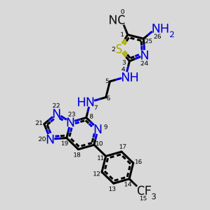 N#Cc1sc(NCCNc2nc(-c3ccc(C(F)(F)F)cc3)cc3ncnn23)nc1N